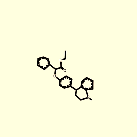 CCOC(=O)C(Oc1ccc(C2CCN(C)c3ccccc32)cc1)c1ccccc1